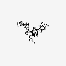 Cc1cccc(-c2nc(C)c(C(=O)NCCO)s2)c1